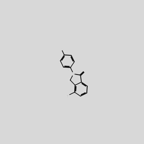 Cc1ccc(N2Cc3c(Br)cccc3C2=O)cc1